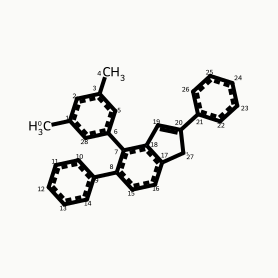 Cc1cc(C)cc(-c2c(-c3ccccc3)ccc3c2C=C(c2ccccc2)[CH]3)c1